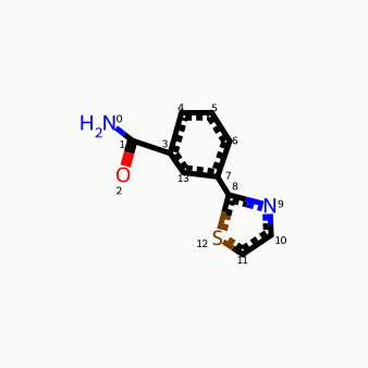 NC(=O)c1cccc(-c2nccs2)c1